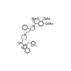 COc1ccc(C(=O)N2CCC(CCN3CCC(C(=O)c4nc5ccccc5n4Cc4ccc(C)o4)CC3)(c3ccccc3)C2)c(OC)c1OC